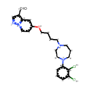 O=Cc1cnn2ccc(OCCCCN3CCCN(c4cccc(Cl)c4Cl)CC3)cc12